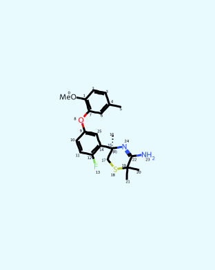 COc1ccc(C)cc1Oc1ccc(F)c([C@]2(C)CSC(C)(C)C(N)=N2)c1